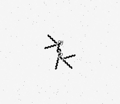 CCCCCCCCCN(CCCCCCCCC)CCN(CCCCCCCCC)CC(=O)N1CCC(CCC(C(=O)O)N(CCCCCCCCC)CCCCCCCCC)CC1